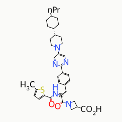 CCC[C@H]1CC[C@H](C2CCN(c3cnc(-c4ccc(C[C@H](NC(=O)c5ccc(C)s5)C(=O)N5CC(C(=O)O)C5)cc4)nc3)CC2)CC1